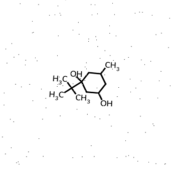 CC1CC(O)CC(O)(C(C)(C)C)C1